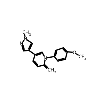 C=C1C=CC(c2cnn(C)c2)=CN1c1ccc(OC(F)(F)F)cc1